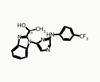 C[C@H](O)c1nc2ccccc2n1-c1cncc(Nc2ccc(C(F)(F)F)cc2)n1